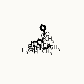 COCC(C)(C)NC1=NC([C@@H](C)OC(=O)c2ccccc2)=CC2=CN=C(S(C)(=O)=O)NC21